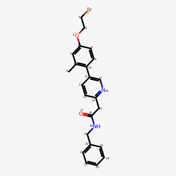 Cc1cc(OCCBr)ccc1-c1ccc(CC(=O)NCc2ccccc2)nc1